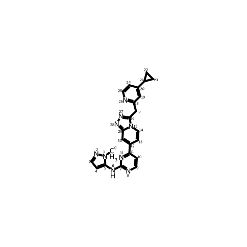 Cn1nccc1Nc1nccc(-c2ccn3c(Cc4cc(C5CC5)ccn4)nnc3c2)n1